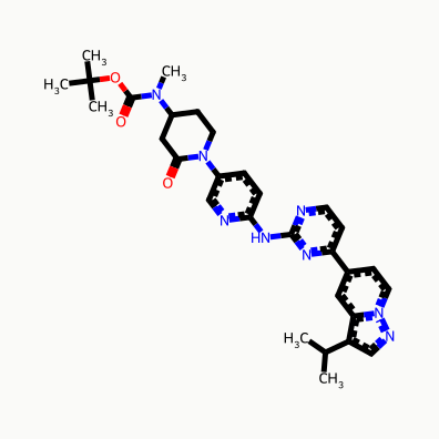 CC(C)c1cnn2ccc(-c3ccnc(Nc4ccc(N5CCC(N(C)C(=O)OC(C)(C)C)CC5=O)cn4)n3)cc12